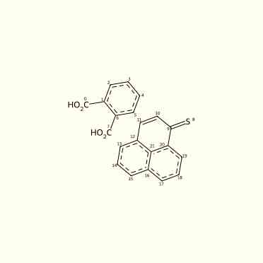 O=C(O)c1ccccc1C(=O)O.S=C1C=Cc2cccc3cccc1c23